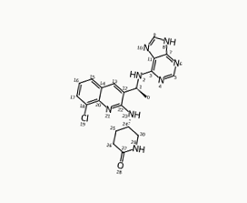 C[C@H](Nc1ncnc2[nH]cnc12)c1cc2cccc(Cl)c2nc1N[C@H]1CCC(=O)NC1